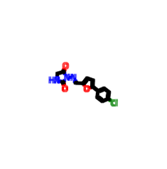 O=C1CNC(=O)N1N=Cc1ccc(-c2ccc(Cl)cc2)o1